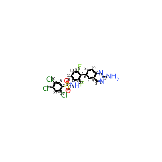 Nc1ncc2cc(-c3c(F)ccc(NS(=O)(=O)c4cc(Cl)c(Cl)cc4Cl)c3F)ccc2n1